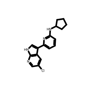 Clc1cnc2[nH]cc(-c3cccc(NC4CCCC4)n3)c2c1